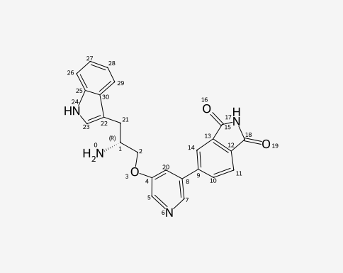 N[C@@H](COc1cncc(-c2ccc3c(c2)C(=O)NC3=O)c1)Cc1c[nH]c2ccccc12